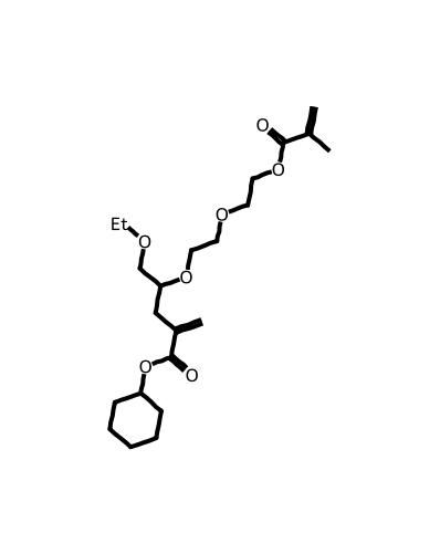 C=C(C)C(=O)OCCOCCOC(COCC)CC(=C)C(=O)OC1CCCCC1